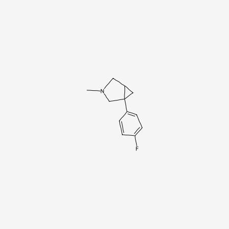 CN1CC2CC2(c2ccc(F)cc2)C1